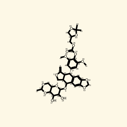 C=C1OCC2C(OC3OC4COC(C)OC4C(O)C3O)c3cc4c(cc3[C@@H](c3cc(OC)c(OC(=O)OCC5COC(C)(C)O5)c(OC)c3)C12)OCO4